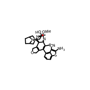 COc1nc(N2C3CCC2CN(CC(C)O)C3)c2c3c(c(-c4cccc5sc(N)c(C#N)c45)c(F)c2n1)COC3